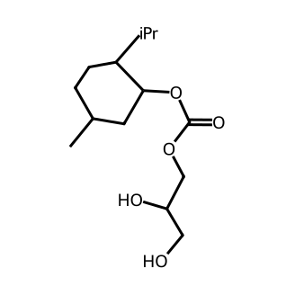 CC1CCC(C(C)C)C(OC(=O)OCC(O)CO)C1